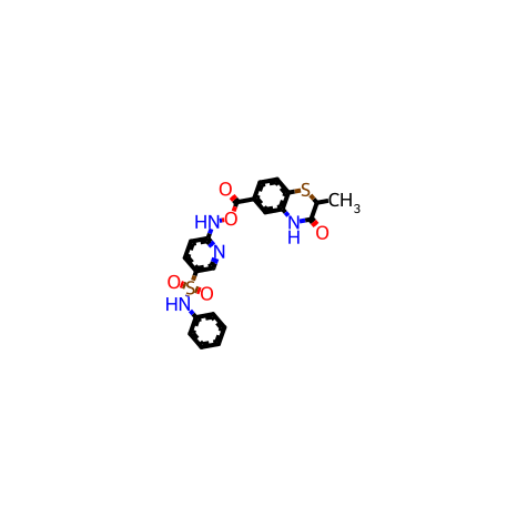 CC1Sc2ccc(C(=O)ONc3ccc(S(=O)(=O)Nc4ccccc4)cn3)cc2NC1=O